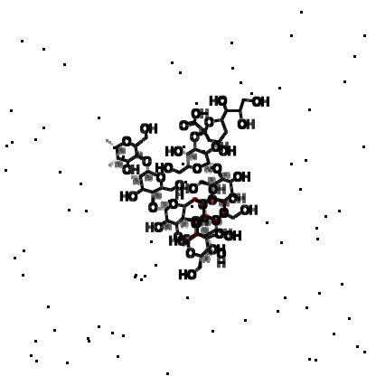 CC1C(O)[C@H](O[C@@H]2OC(CO)[C@H](O)C(O[C@]3(C(=O)O)C[C@@H](O)CC(C(O)C(O)CO)O3)C2O)[C@H](CO)O[C@H]1O[C@@H]1C(O)[C@H](O)C(CO)O[C@@H]1OCC1O[C@@H](O[C@@H]2C(CO)O[C@@H](O[C@@H]3C(CO)O[C@@H](C)[C@@H](C)C3O)[C@@H](C)C2O)[C@H](O)C(O[C@H]2O[C@H](CO)[C@@H](O)C(O)C2O[C@@H]2OC(CO)[C@@H](O)C(O)[C@@H]2C)[C@@H]1O